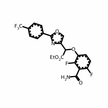 CCOC(=O)C(Oc1ccc(F)c(C(N)=O)c1F)c1coc(-c2ccc(C(F)(F)F)cc2)n1